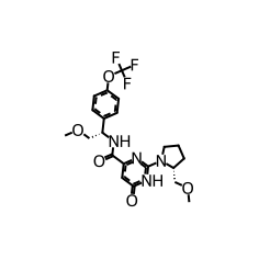 COC[C@H]1CCCN1c1nc(C(=O)N[C@H](COC)c2ccc(OC(F)(F)F)cc2)cc(=O)[nH]1